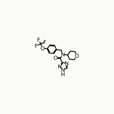 O=C(c1nc[nH]n1)N(Cc1ccc(OC(F)(F)F)cc1)C1CCOCC1